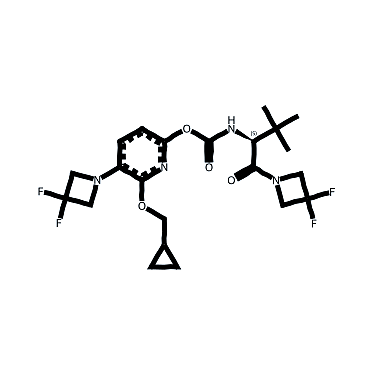 CC(C)(C)[C@H](NC(=O)Oc1ccc(N2CC(F)(F)C2)c(OCC2CC2)n1)C(=O)N1CC(F)(F)C1